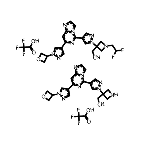 N#CCC1(n2cc(-c3nc(-c4cnn(C5COC5)c4)cc4nccn34)cn2)CN(CC(F)F)C1.N#CCC1(n2cc(-c3nc(-c4cnn(C5COC5)c4)cc4nccn34)cn2)CNC1.O=C(O)C(F)(F)F.O=C(O)C(F)(F)F